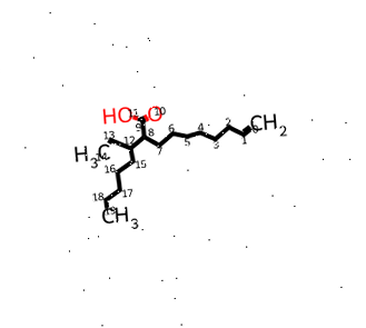 C=CCCCCCCC(C(=O)O)C(CC)CCCCC